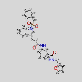 O=C(/C=C/c1cn(S(=O)(=O)Cc2ccccc2)c2ccccc12)Nc1cccc(C(=O)NCc2ccco2)c1